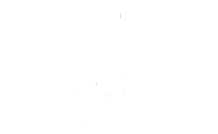 CC(C)O[SiH](OCCC(F)C(F)F)OC(C)C